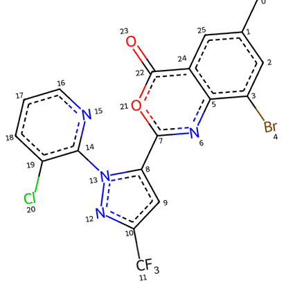 Cc1cc(Br)c2nc(-c3cc(C(F)(F)F)nn3-c3ncccc3Cl)oc(=O)c2c1